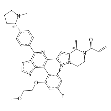 C=CC(=O)N1CCn2nc(-c3nc(-c4ccc([C@@H]5CCCN5C)cc4)c4ccsc4c3-c3c(F)cc(F)cc3OCCOC)cc2[C@H]1C